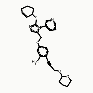 Cc1cc(OCc2cnc(SC3C=CCCC3)n2-c2cccnc2)ccc1C#CCOC1CCCCO1